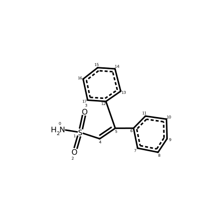 NS(=O)(=O)C=C(c1ccccc1)c1ccccc1